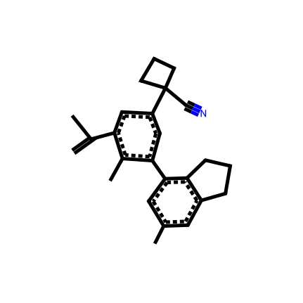 C=C(C)c1cc(C2(C#N)CCC2)cc(-c2cc(C)cc3c2CCC3)c1C